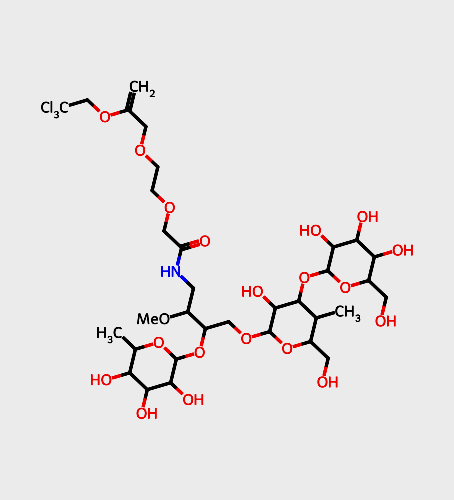 C=C(COCCOCC(=O)NCC(OC)C(COC1OC(CO)C(C)C(OC2OC(CO)C(O)C(O)C2O)C1O)OC1OC(C)C(O)C(O)C1O)OCC(Cl)(Cl)Cl